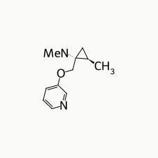 CN[C@]1(COc2cccnc2)C[C@H]1C